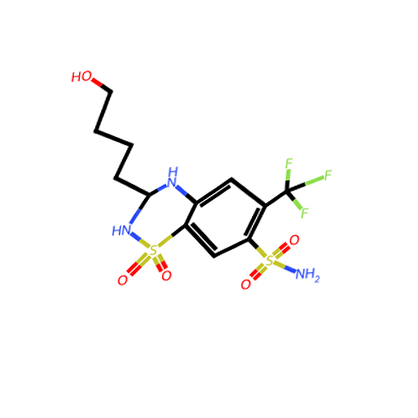 NS(=O)(=O)c1cc2c(cc1C(F)(F)F)NC(CCCCO)NS2(=O)=O